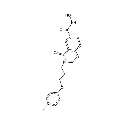 Cc1ccc(OCCCn2ccc3ccc(C(=O)NO)cc3c2=O)cc1